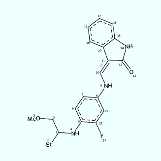 CCC(COC)Nc1ccc(N/C=C2\C(=O)Nc3ccccc32)cc1F